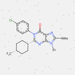 CCn1c(NC)nc2c(=O)n(-c3ccc(Cl)cc3)c([C@H]3CC[C@@H](C(F)(F)F)CC3)nc21